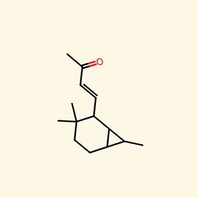 CC(=O)/C=C/C1C2C(C)C2CCC1(C)C